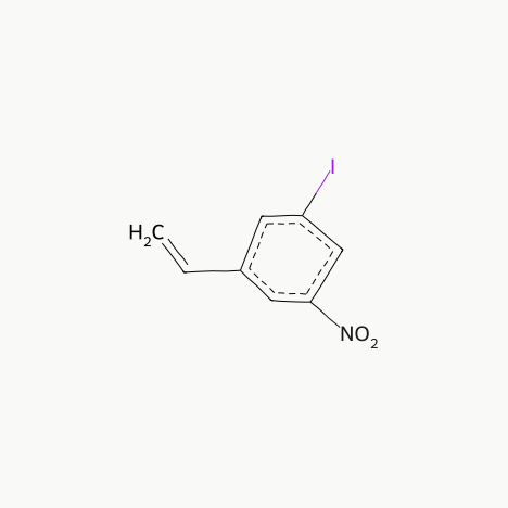 C=Cc1cc(I)cc([N+](=O)[O-])c1